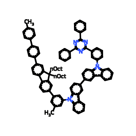 CCCCCCCCC1(CCCCCCCC)c2cc(-c3ccc(-c4ccc(C)cc4)cc3)ccc2-c2ccc(-c3cc(C)cc(-n4c5ccccc5c5cc(-c6ccc7c(c6)c6ccccc6n7-c6cccc(-c7nc(-c8ccccc8)nc(-c8ccccc8)n7)c6)ccc54)c3)cc21